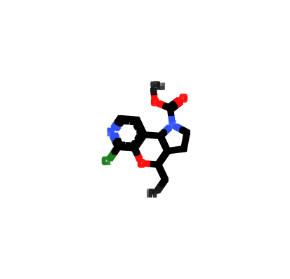 CC(C)CC1Oc2c(ccnc2Cl)C2C1CCN2C(=O)OC(C)(C)C